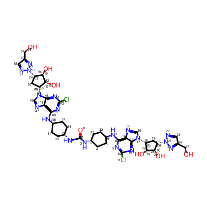 O=C(N[C@H]1CC[C@H](Nc2nc(Cl)nc3c2ncn3[C@@H]2C[C@H](n3ncc(CO)n3)[C@@H](O)[C@H]2O)CC1)N[C@H]1CC[C@H](Nc2nc(Cl)nc3c2ncn3[C@@H]2C[C@H](n3ncc(CO)n3)[C@@H](O)[C@H]2O)CC1